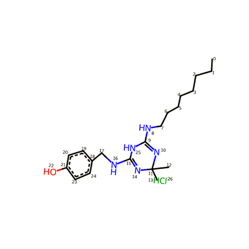 CCCCCCCCNC1=NC(C)(C)N=C(NCc2ccc(O)cc2)N1.Cl